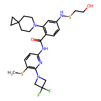 CSc1ccc(NC(=O)c2ccc(NSCCO)cc2N2CCC3(CC2)CC3)nc1N1CC(F)(F)C1